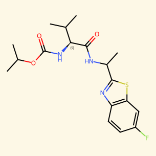 CC(C)OC(=O)N[C@H](C(=O)NC(C)c1nc2ccc(F)cc2s1)C(C)C